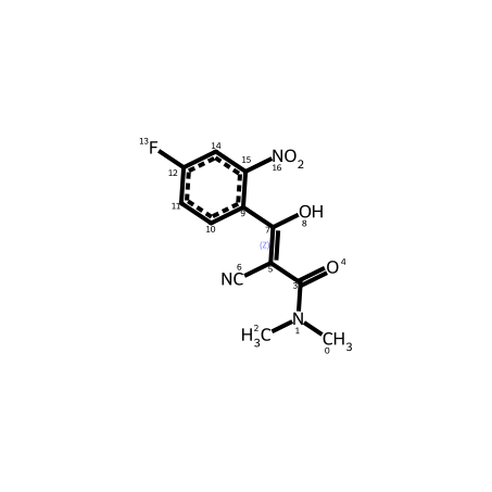 CN(C)C(=O)/C(C#N)=C(\O)c1ccc(F)cc1[N+](=O)[O-]